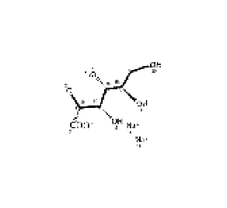 O=C([O-])[C@H]([O-])[C@@H](O)[C@H](O)[C@H](O)CO.[Na+].[Na+]